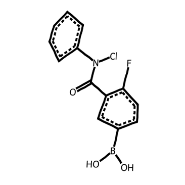 O=C(c1cc(B(O)O)ccc1F)N(Cl)c1ccccc1